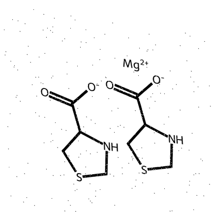 O=C([O-])C1CSCN1.O=C([O-])C1CSCN1.[Mg+2]